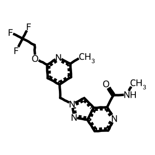 CNC(=O)c1nccc2nn(Cc3cc(C)nc(OCC(F)(F)F)c3)cc12